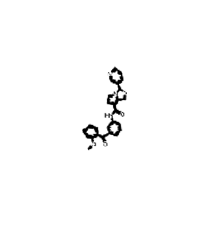 COc1ccccc1C(=O)c1cccc(NC(=O)c2ccn3c2CSC3c2cccnc2)c1